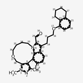 Cc1nn(C)c2c1-c1c(F)ccc3c(CCCOc4cccc5c4CCCC5)c(C=O)n(c13)CCCCOC2